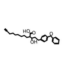 C#CCCCCCCCC(C(=O)O)C(O)CCc1ccc(C(=O)c2ccccc2)cc1